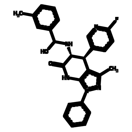 Cc1cccc(C(O)N[C@H]2C(=O)Nc3c(c(C)nn3-c3ccccc3)[C@@H]2c2ccc(F)nc2)c1